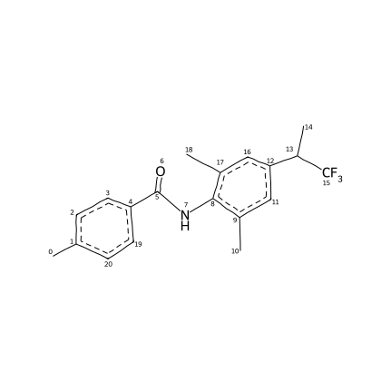 Cc1ccc(C(=O)Nc2c(C)cc(C(C)C(F)(F)F)cc2C)cc1